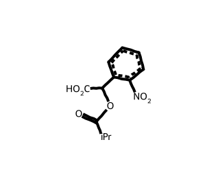 CC(C)C(=O)OC(C(=O)O)c1ccccc1[N+](=O)[O-]